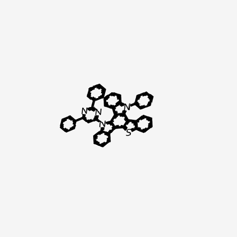 c1ccc(-c2cc(-n3c4ccccc4c4c5sc6ccccc6c5c5c(c6ccccc6n5-c5ccccc5)c43)nc(-c3ccccc3)n2)cc1